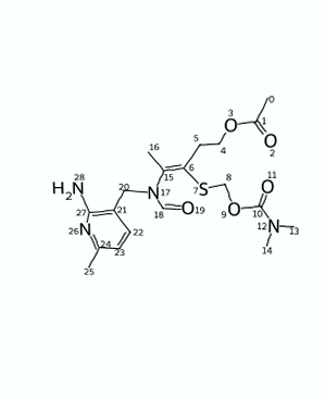 CC(=O)OCC/C(SCOC(=O)N(C)C)=C(\C)N(C=O)Cc1ccc(C)nc1N